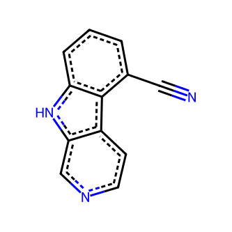 N#Cc1cccc2[nH]c3cnccc3c12